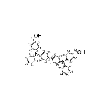 OCc1ccc(N(c2ccccc2)c2ccc(-c3ccc(N(c4ccccc4)c4ccc(CO)cc4)cc3)cc2)cc1